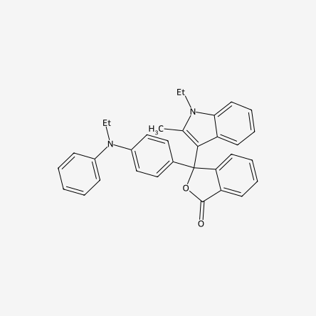 CCN(c1ccccc1)c1ccc(C2(c3c(C)n(CC)c4ccccc34)OC(=O)c3ccccc32)cc1